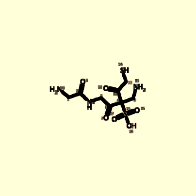 NCC(=O)NCC(=O)C(CN)(C(=O)CS)S(=O)(=O)O